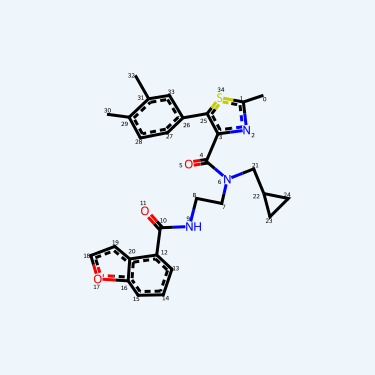 Cc1nc(C(=O)N(CCNC(=O)c2cccc3occc23)CC2CC2)c(-c2ccc(C)c(C)c2)s1